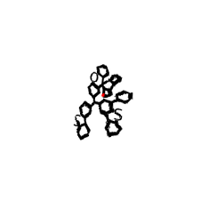 c1ccc(-c2cc(C(c3ccc4c(c3)C3(c5ccccc5O4)c4ccccc4-c4ccccc43)c3ccc4sc5ccccc5c4c3)cc3c2sc2ccccc23)cc1